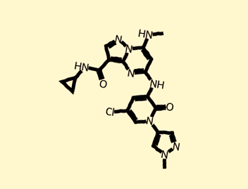 CNc1cc(Nc2cc(Cl)cn(-c3cnn(C)c3)c2=O)nc2c(C(=O)NC3CC3)cnn12